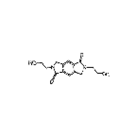 O=C1c2cc3c(cc2CN1CCO)C(=O)N(CCO)C3